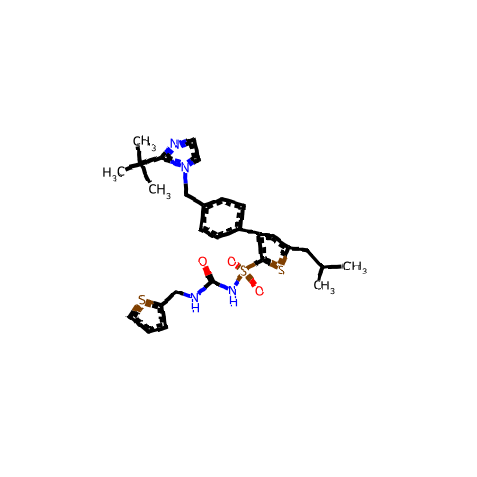 CC(C)Cc1cc(-c2ccc(Cn3ccnc3C(C)(C)C)cc2)c(S(=O)(=O)NC(=O)NCc2cccs2)s1